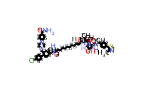 Cc1ncsc1-c1ccc([C@H](C)NC(=O)[C@@H]2C[C@@H](O)CN2C(=O)[C@@H](NC(=O)CCCCCCCCCCC(=O)NCC2(C)CCC(c3ccc(Cl)cc3)=C(CN3CCN(c4ccc(C(N)=O)cc4)CC3)C2)C(C)(C)C)cc1